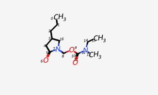 CCCC1CC(=O)N(COC(=O)N(C)CC)C1